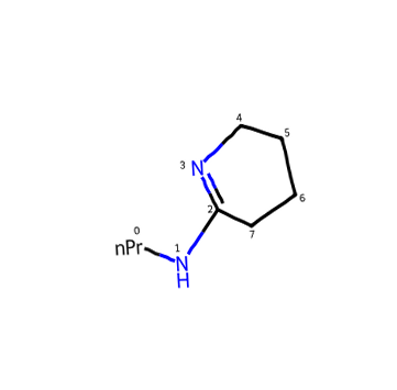 CCCNC1=NCCCC1